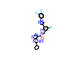 O=C(NCc1cc(F)cc(-c2cnn(-c3ccc(F)c(F)c3)c2)c1)c1ncnc2nc(C3CCCC3)[nH]c12